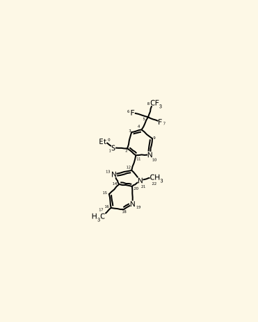 CCSc1cc(C(F)(F)C(F)(F)F)cnc1-c1nc2cc(C)cnc2n1C